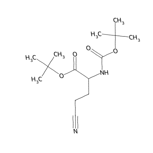 CC(C)(C)OC(=O)NC(CCC#N)C(=O)OC(C)(C)C